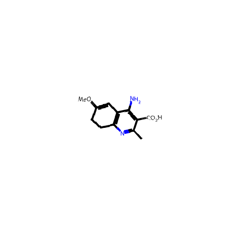 COC1=Cc2c(nc(C)c(C(=O)O)c2N)CC1